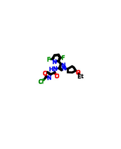 CCOC1CCC(n2cc(NC(=O)c3coc(Cl)n3)c(-c3nc(F)ccc3F)n2)CC1